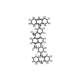 CN1c2cc(N3c4ccccc4Sc4ccccc43)ccc2-c2ccc3c4c(ccc1c24)N(C)c1cc(N2c4ccccc4Sc4ccccc42)ccc1-3